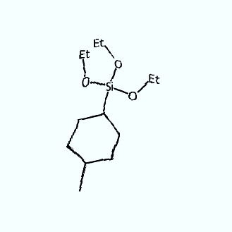 CCO[Si](OCC)(OCC)C1CCC(C)CC1